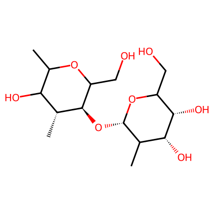 CC1OC(CO)[C@@H](O[C@@H]2OC(CO)[C@H](O)[C@H](O)C2C)[C@H](C)C1O